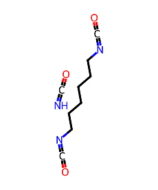 N=C=O.O=C=NCCCCCCN=C=O